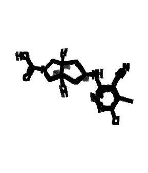 Cc1c(Cl)nnc(N[C@H]2C[C@@H]3CN(C(=O)O)C[C@@H]3C2)c1C#N